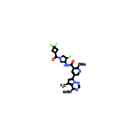 COc1ncc(-c2cc(C(F)(F)F)c3c(NC(C)=O)ncnn23)cc1C(=O)NC1CN(C(=O)C2CC(F)(F)C2)CC1F